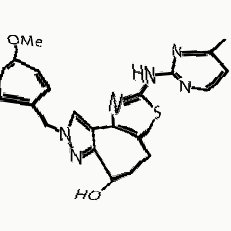 COc1ccc(Cn2cc3c(n2)C(O)CCc2sc(Nc4nccc(C)n4)nc2-3)cc1